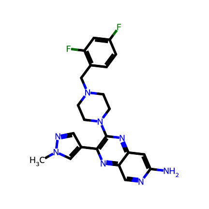 Cn1cc(-c2nc3cnc(N)cc3nc2N2CCN(Cc3ccc(F)cc3F)CC2)cn1